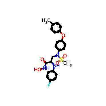 Cc1ccc(Oc2ccc(N(CC(Nc3ccc(F)cc3)C(=O)NO)S(C)(=O)=O)cc2)cc1